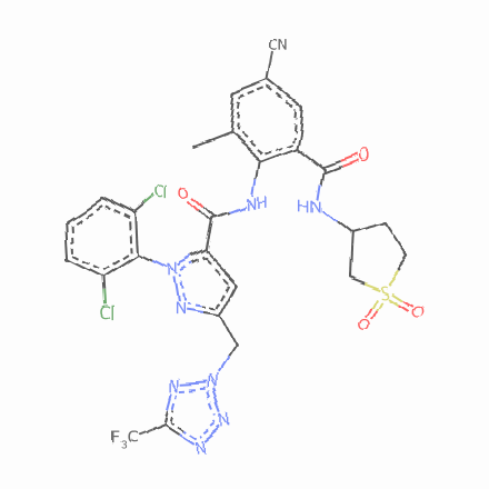 Cc1cc(C#N)cc(C(=O)NC2CCS(=O)(=O)C2)c1NC(=O)c1cc(Cn2nnc(C(F)(F)F)n2)nn1-c1c(Cl)cccc1Cl